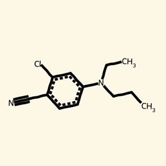 CCCN(CC)c1ccc(C#N)c(Cl)c1